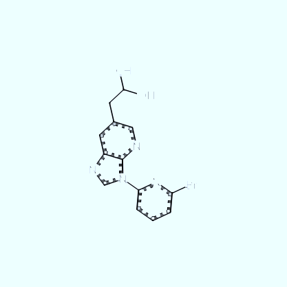 CC(O)Cc1cnc2c(c1)ncn2-c1cccc(Br)n1